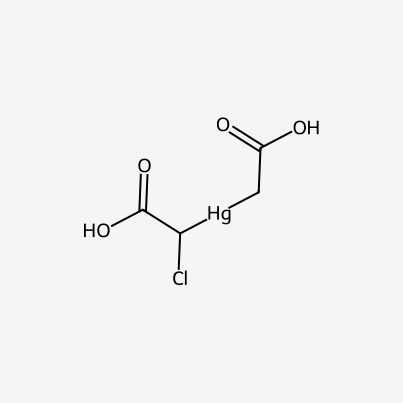 O=C(O)[CH2][Hg][CH](Cl)C(=O)O